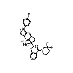 C[C@]12Cc3cnn(-c4ccc(F)cc4)c3C=C1CC[C@@]2(O)CCc1ccccc1C(=O)N1CCCC(F)(F)C1